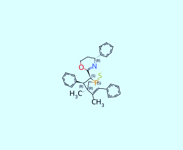 CC1=C(c2ccccc2)[P@]2(=S)C[C@]1(C)[C@@H](c1ccccc1)[C@H]2C1=N[C@@H](c2ccccc2)CCO1